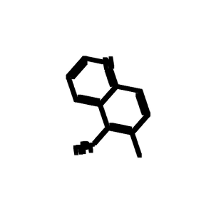 CCCc1c(C)ccc2ncccc12